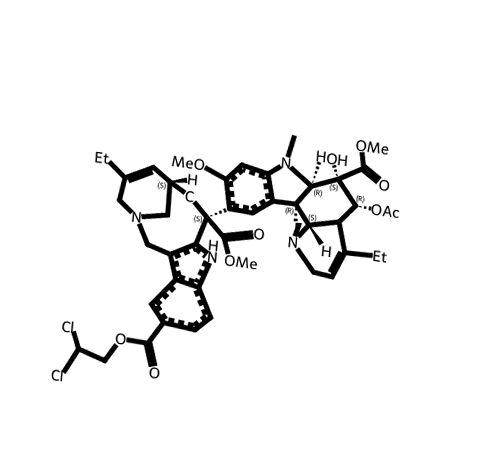 CCC1=C[C@H]2CN(C1)Cc1c([nH]c3ccc(C(=O)OCC(Cl)Cl)cc13)[C@@](C(=O)OC)(c1cc3c(cc1OC)N(C)[C@H]1[C@@](O)(C(=O)OC)[C@H](OC(C)=O)C4C(CC)=CCN5CC[C@]31[C@H]45)C2